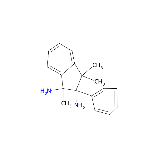 CC1(C)c2ccccc2C(C)(N)C1(N)c1ccccc1